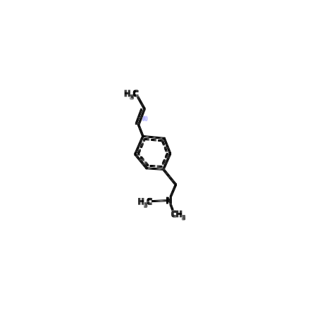 C/C=C/c1ccc(CN(C)C)cc1